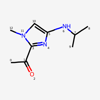 CC(=O)c1nc(NC(C)C)cn1C